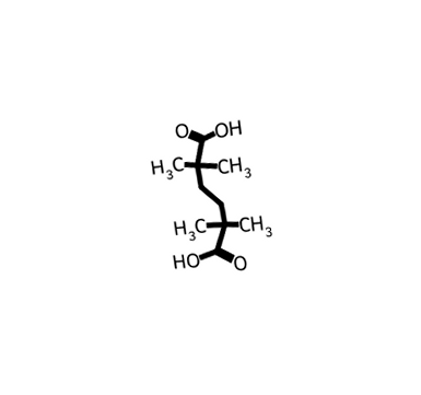 CC(C)(CCC(C)(C)C(=O)O)C(=O)O